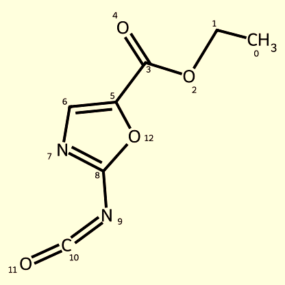 CCOC(=O)c1cnc(N=C=O)o1